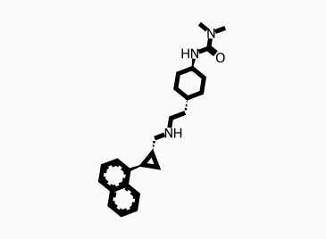 CN(C)C(=O)N[C@H]1CC[C@H](CCNC[C@@H]2C[C@H]2c2cccc3ccccc23)CC1